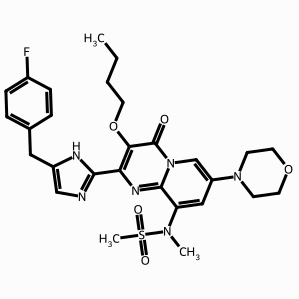 CCCCOc1c(-c2ncc(Cc3ccc(F)cc3)[nH]2)nc2c(N(C)S(C)(=O)=O)cc(N3CCOCC3)cn2c1=O